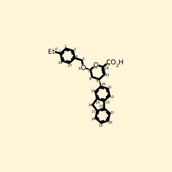 CCc1ccc(CO[C@@H]2C[C@H](c3ccc4c(c3)Cc3ccccc3-4)C=C(C(=O)O)O2)cc1